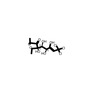 CC(=O)C(=O)[C@@](O)(C(C)=O)[C@@H](O)[C@H](O)C(O)=CC(Cl)(Cl)Cl